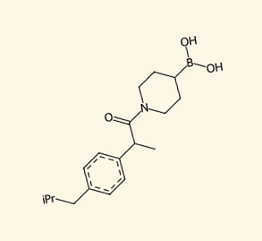 CC(C)Cc1ccc(C(C)C(=O)N2CCC(B(O)O)CC2)cc1